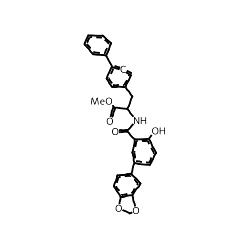 COC(=O)C(Cc1ccc(-c2ccccc2)cc1)NC(=O)c1cc(-c2ccc3c(c2)OCO3)ccc1O